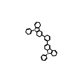 C1=CC(n2c3c(c4c2CCC(C2C=C(C5=CCC6C(=C5)C5=C(CCC=C5)N6c5ccccc5)C=CC2)=C4)CCC=C3)=CCC1